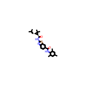 CC(C)=C[C@H]1[C@H](C(=O)Nc2nc3ccc(C(=O)Nc4c(C)cc(C)cc4C)cc3s2)C1(C)C